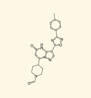 Cc1ccc(-c2noc(-c3cnn4c(C5CCN(C=O)CC5)cc(=O)[nH]c34)n2)cc1